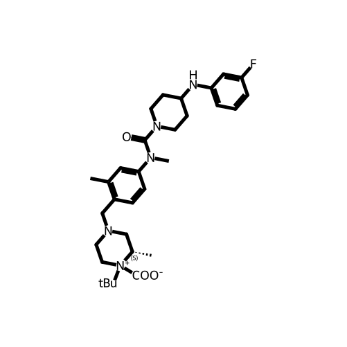 Cc1cc(N(C)C(=O)N2CCC(Nc3cccc(F)c3)CC2)ccc1CN1CC[N+](C(=O)[O-])(C(C)(C)C)[C@@H](C)C1